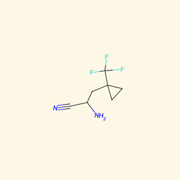 N#CC(N)CC1(C(F)(F)F)CC1